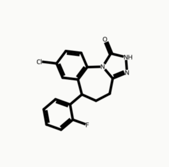 O=c1[nH]nc2n1-c1ccc(Cl)cc1C(c1ccccc1F)CC2